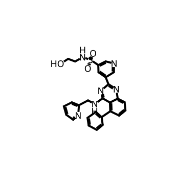 O=S(=O)(NCCO)c1cncc(-c2nc(NCc3ccccn3)c3c(-c4ccccc4)cccc3n2)c1